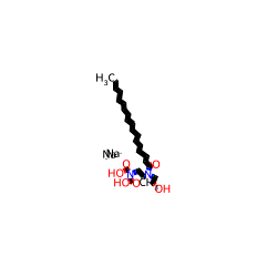 CCCCCCCCC=CCCCCCCCC(=O)N(CCO)C(C)CN(C(=O)O)C(=O)O.[Na].[Na]